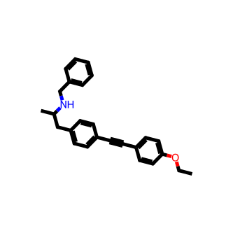 CCOc1ccc(C#Cc2ccc(CC(C)NCc3ccccc3)cc2)cc1